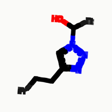 [CH2]CC(O)n1cc(CCC(C)C)nn1